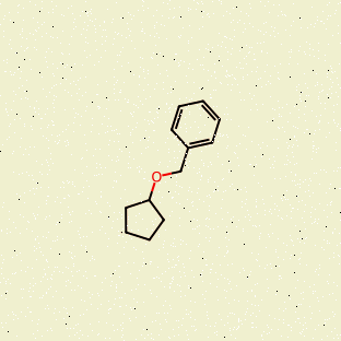 [CH]1CCC(OCc2ccccc2)C1